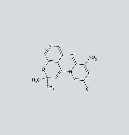 CC1(C)C=C(n2cc(Cl)cc([N+](=O)[O-])c2=O)c2ccncc2O1